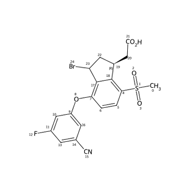 CS(=O)(=O)c1ccc(Oc2cc(F)cc(C#N)c2)c2c1[C@H](CC(=O)O)CC2Br